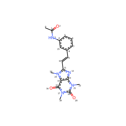 CC(=O)Nc1cccc(/C=C/c2nc3c(c(=O)n(C)c(=O)n3C)n2C)c1